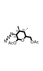 CC(=O)OCC1OC(OC(C)=O)[C@@H](N=[N+]=[N-])[C@@H](C)[C@@H]1C